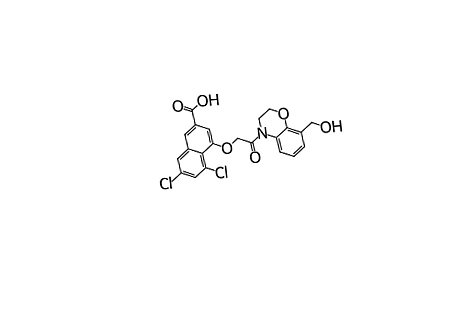 O=C(O)c1cc(OCC(=O)N2CCOc3c(CO)cccc32)c2c(Cl)cc(Cl)cc2c1